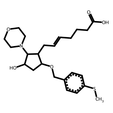 CSc1ccc(COC2CC(O)C(N3CCOCC3)C2CC=CCCCC(=O)O)cc1